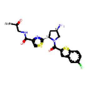 CNC(=O)CNC(=O)c1csc([C@@H]2C[C@@H](N)CN2C(=O)c2cc3cc(Cl)ccc3s2)n1